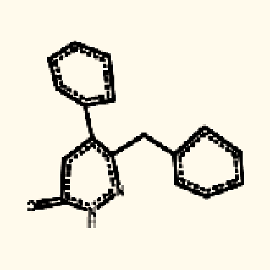 O=c1cc(-c2ccccc2)c(Cc2ccccc2)n[nH]1